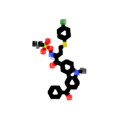 CCn1c2ccc(C(=O)/C(CCSc3ccc(Cl)cc3)=N/OS(C)(=O)=O)cc2c2cc(C(=O)c3ccccc3)ccc21